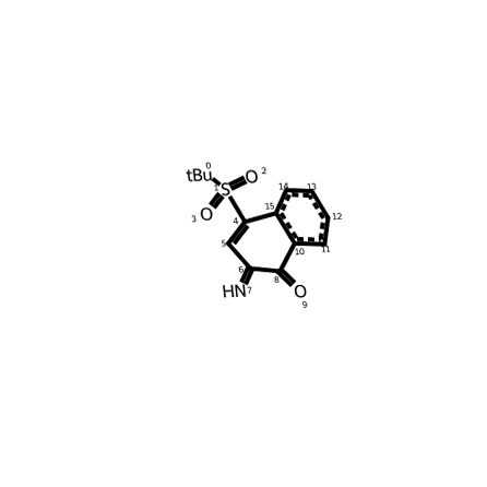 CC(C)(C)S(=O)(=O)C1=CC(=N)C(=O)c2ccccc21